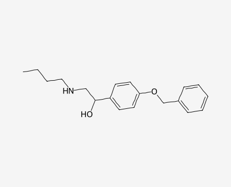 CCCCNCC(O)c1ccc(OCc2ccccc2)cc1